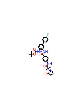 CC(C)(C)OC(=O)Nc1ccc(-c2ccc(F)cc2)cc1NC(=O)c1ccc(NC(=O)C(C)(C)N2CCCC2=O)cc1